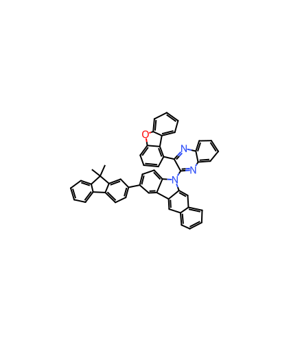 CC1(C)c2ccccc2-c2ccc(-c3ccc4c(c3)c3cc5ccccc5cc3n4-c3nc4ccccc4nc3-c3cccc4oc5ccccc5c34)cc21